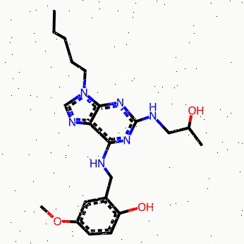 CCCCCn1cnc2c(NCc3cc(OC)ccc3O)nc(NCC(C)O)nc21